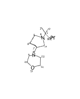 CCCC(C)(C)N1CCC(N2CCOCC2)C1